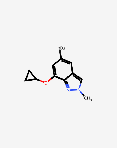 Cn1cc2cc(C(C)(C)C)cc(OC3CC3)c2n1